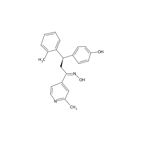 Cc1cc(C(C[C@H](c2ccc(O)cc2)c2ccccc2C)=NO)ccn1